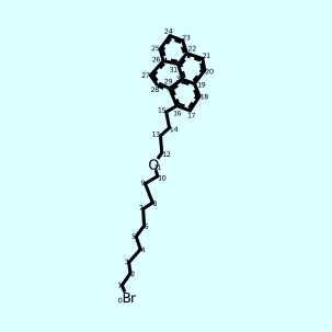 BrCCCCCCCCCCOCCCCc1ccc2ccc3cccc4ccc1c2c34